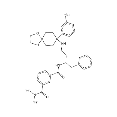 CCCN(CCC)C(=O)c1cccc(C(=O)N[C@H](CCNC2(c3cccc(C(C)(C)C)c3)CCC3(CC2)OCCO3)Cc2ccccc2)c1